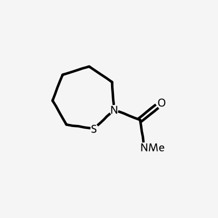 CNC(=O)N1CCCCCS1